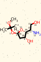 COC(C)(C)O[C@@H]1C[C@@H](O)[C@@H]([C@@H](N)CO)O1